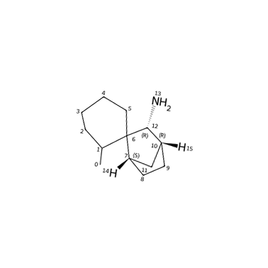 CC1CCCCC12[C@H]1CC[C@H](C1)[C@H]2N